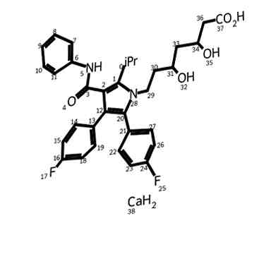 CC(C)c1c(C(=O)Nc2ccccc2)c(-c2ccc(F)cc2)c(-c2ccc(F)cc2)n1CCC(O)CC(O)CC(=O)O.[CaH2]